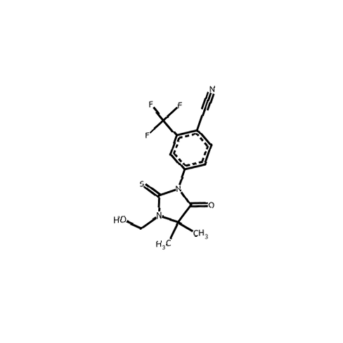 CC1(C)C(=O)N(c2ccc(C#N)c(C(F)(F)F)c2)C(=S)N1CO